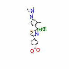 CCN(C)C=Nc1cc(C)c(Cc2nc(-c3ccc(C(=O)OC)cc3)cs2)cc1C.Cl.Cl